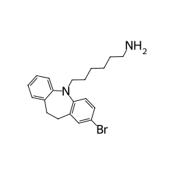 NCCCCCCN1c2ccccc2CCc2cc(Br)ccc21